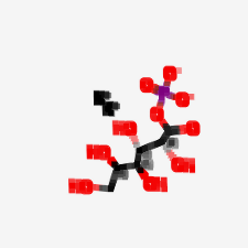 O=C(OP(=O)([O-])[O-])[C@H](O)[C@@H](O)[C@@H](O)[C@H](O)CO.[K+].[K+]